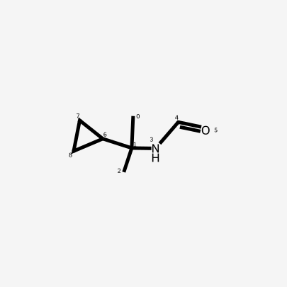 CC(C)(NC=O)C1CC1